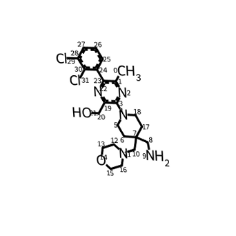 Cc1nc(N2CCC(CN)(CN3CCOCC3)CC2)c(CO)nc1-c1cccc(Cl)c1Cl